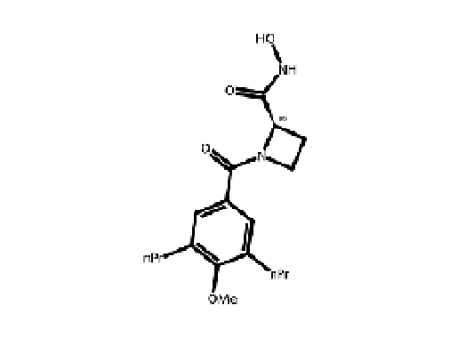 CCCc1cc(C(=O)N2CC[C@@H]2C(=O)NO)cc(CCC)c1OC